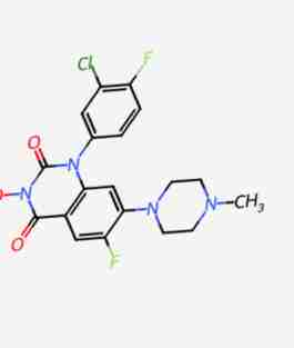 CN1CCN(c2cc3c(cc2F)c(=O)n(O)c(=O)n3-c2ccc(F)c(Cl)c2)CC1